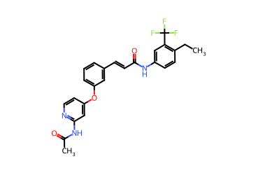 CCc1ccc(NC(=O)C=Cc2cccc(Oc3ccnc(NC(C)=O)c3)c2)cc1C(F)(F)F